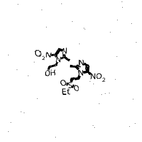 CCS(=O)(=O)CCn1c([N+](=O)[O-])cnc1C.Cc1ncc([N+](=O)[O-])n1CCO